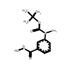 CN(C(=O)OC(C)(C)C)c1cccc(C(=O)NO)c1